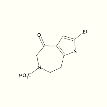 CCc1cc2c(s1)CCN(C(=O)O)CC2=O